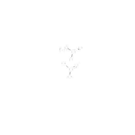 [Fe+3].[O-][Cl+2]([O-])[O-].[O-][Cl+2]([O-])[O-]